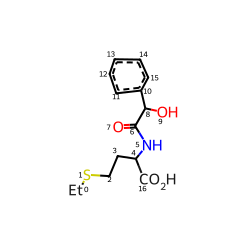 CCSCCC(NC(=O)C(O)c1ccccc1)C(=O)O